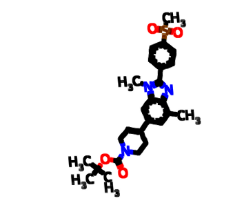 Cc1cc(C2=CCN(C(=O)OC(C)(C)C)CC2)cc2c1nc(-c1ccc(S(C)(=O)=O)cc1)n2C